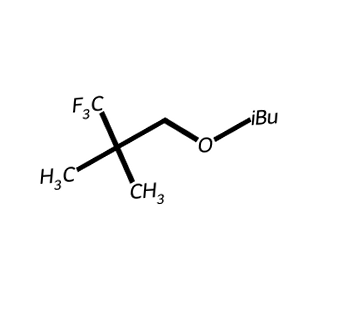 CCC(C)OCC(C)(C)C(F)(F)F